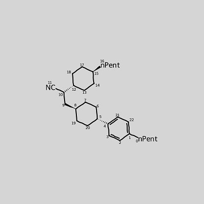 CCCCCc1ccc([C@H]2CC[C@H](CC(C#N)[C@H]3CC[C@H](CCCCC)CC3)CC2)cc1